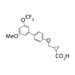 COc1cc(OC(F)(F)F)cc(-c2ccc(OCC3CC3C(=O)O)cc2)c1